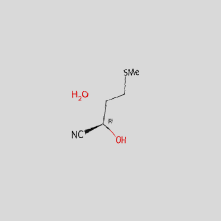 CSCC[C@@H](O)C#N.O